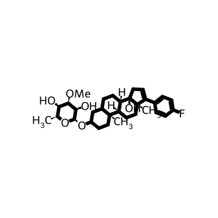 CO[C@@H]1[C@@H](O)[C@H](OC2CC[C@@]3(C)C(CC[C@@H]4[C@H]3CC[C@]3(C)C(c5ccc(F)cc5)=CC[C@@]43O)C2)O[C@H](C)[C@H]1O